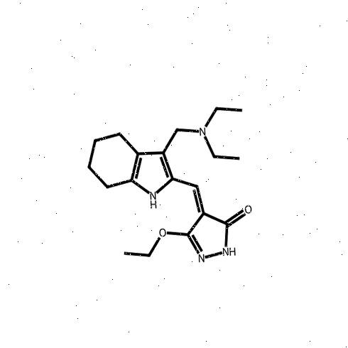 CCOC1=NNC(=O)/C1=C/c1[nH]c2c(c1CN(CC)CC)CCCC2